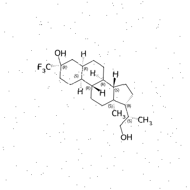 C[C@H](CO)[C@H]1CC[C@H]2[C@@H]3CC[C@@H]4C[C@@](O)(C(F)(F)F)CC[C@@H]4[C@H]3CC[C@]12C